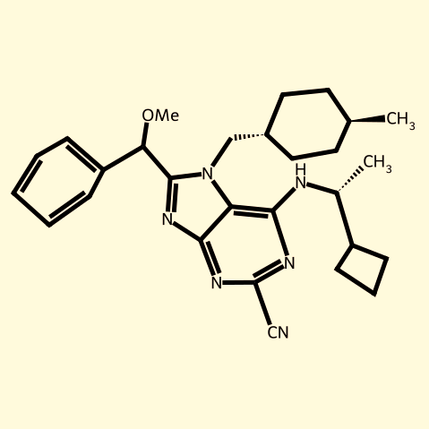 COC(c1ccccc1)c1nc2nc(C#N)nc(N[C@H](C)C3CCC3)c2n1C[C@H]1CC[C@H](C)CC1